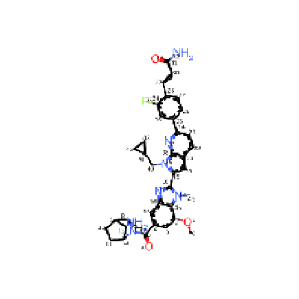 COc1cc(C(=O)N2CC3CCC2[C@@H]3N)cc2nc(-c3cc4ccc(-c5ccc(/C=C/C(N)=O)c(F)c5)nc4n3CC3CC3)n(C)c12